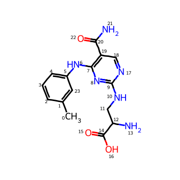 Cc1cccc(Nc2nc(NCC(N)C(=O)O)ncc2C(N)=O)c1